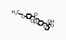 CCCOc1ccc(C(=O)NCc2cccc(CC3(C(=O)O)C=CCO3)c2)c(Cl)c1